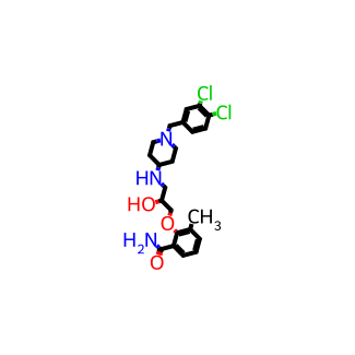 Cc1cccc(C(N)=O)c1OCC(O)CNC1CCN(Cc2ccc(Cl)c(Cl)c2)CC1